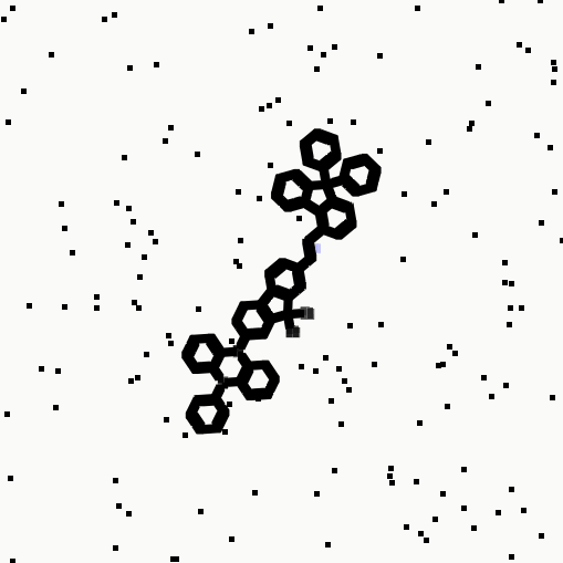 CCC1(CC)C2=C(CCC(N3C4=C(C=CCC4)N(c4ccccc4)c4ccccc43)=C2)c2ccc(/C=C/c3cccc4c3-c3ccccc3C4(c3ccccc3)c3ccccc3)cc21